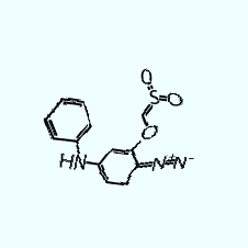 [N-]=[N+]=C1CC=C(Nc2ccccc2)C=C1OC=S(=O)=O